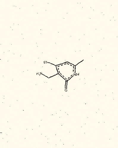 CCc1cc(C)[nH]c(=O)c1CN